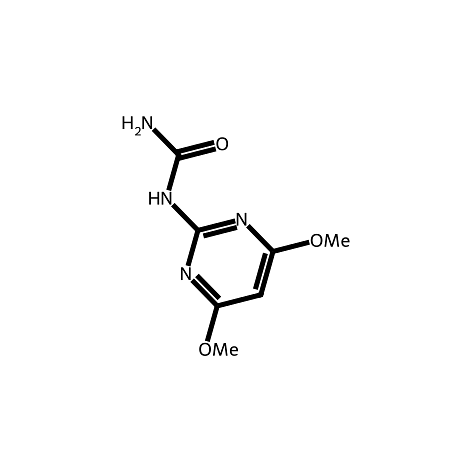 COc1cc(OC)nc(NC(N)=O)n1